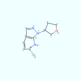 Clc1ccc2cnn(C3CCOC3)c2n1